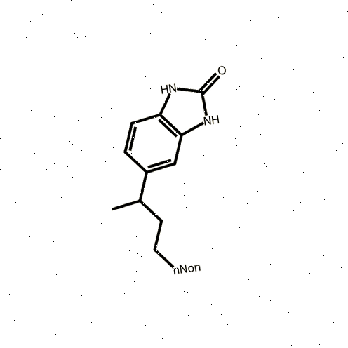 CCCCCCCCCCCC(C)c1ccc2[nH]c(=O)[nH]c2c1